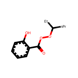 CCCC(CC)OOC(=O)c1ccccc1O